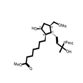 CCCCCC(C)(O)C=C[C@H]1[C@H](COC)C[C@H](O)[C@@H]1CCCCCCC(=O)OC